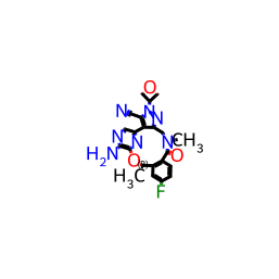 C[C@H]1Oc2nc(cnc2N)-c2c(nn(C3COC3)c2C#N)CN(C)C(=O)c2ccc(F)cc21